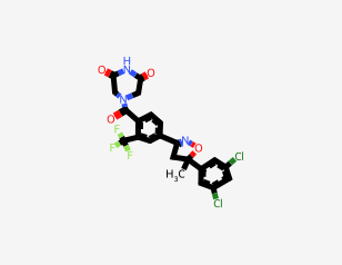 CC1(c2cc(Cl)cc(Cl)c2)CC(c2ccc(C(=O)N3CC(=O)NC(=O)C3)c(C(F)(F)F)c2)=NO1